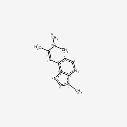 C/C(=N/c1ccnc2c1ncn2C)N(C)C